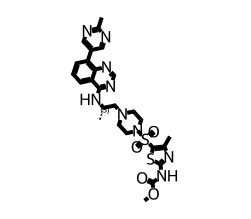 COC(=O)Nc1nc(C)c(S(=O)(=O)N2CCN(C[C@H](C)Nc3ncnc4c(-c5cnc(C)nc5)cccc34)CC2)s1